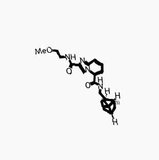 COCCNC(=O)c1cn2c(C(=O)NC[C@@H]3CC[C@H]4C[C@@H]3C4(C)C)cccc2n1